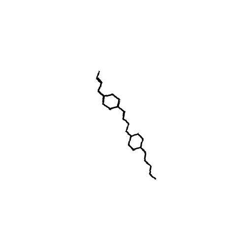 C/C=C/CC1CCC(CCCCC2CCC(CCCCC)CC2)CC1